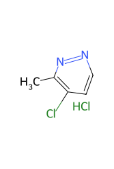 Cc1nnccc1Cl.Cl